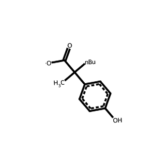 CCCCC(C)(C([O])=O)c1ccc(O)cc1